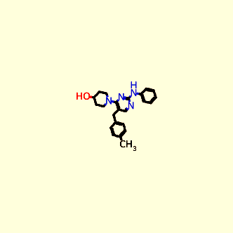 Cc1ccc(Cc2cnc(Nc3ccccc3)nc2N2CCC(O)CC2)cc1